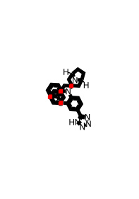 c1ccc(CCN2[C@@H]3CC[C@H]2CC(N2c4ccccc4Oc4cc(-c5nnn[nH]5)ccc42)C3)cc1